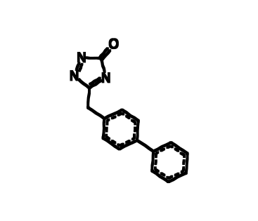 O=C1N=NC(Cc2ccc(-c3ccccc3)cc2)=N1